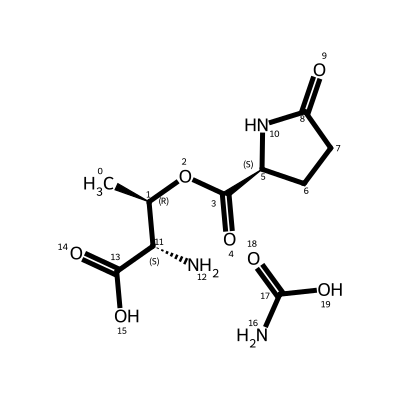 C[C@@H](OC(=O)[C@@H]1CCC(=O)N1)[C@H](N)C(=O)O.NC(=O)O